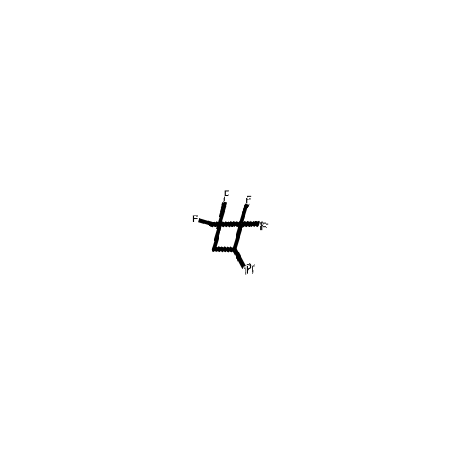 CC(C)C1CC(F)(F)C1(F)F